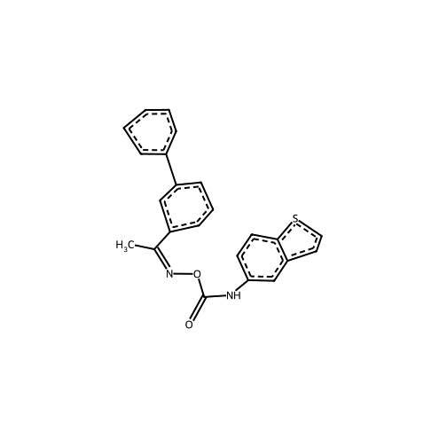 CC(=NOC(=O)Nc1ccc2sccc2c1)c1cccc(-c2ccccc2)c1